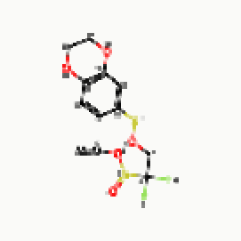 COOS(=O)C(F)(F)COSc1ccc2c(c1)OCCO2